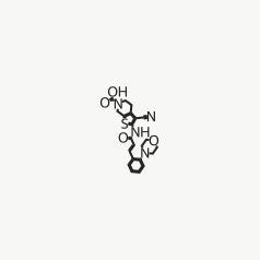 N#Cc1c(NC(=O)C=Cc2ccccc2N2CCOCC2)sc2c1CCN(C(=O)O)C2